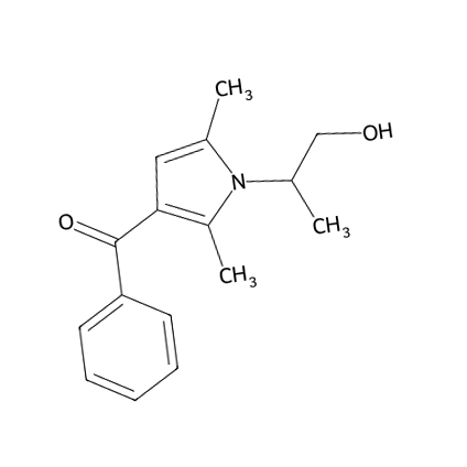 Cc1cc(C(=O)c2ccccc2)c(C)n1C(C)CO